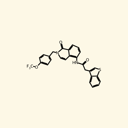 O=C(Cc1csc2ccccc12)Nc1cccc2c(=O)n(Cc3ccc(OC(F)(F)F)cc3)ccc12